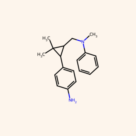 CN(CC1C(c2ccc(N)cc2)C1(C)C)c1ccccc1